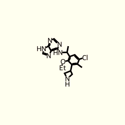 CCOc1c(C(C)Nc2ncnc3[nH]cnc23)cc(Cl)c(C)c1C1CNC1